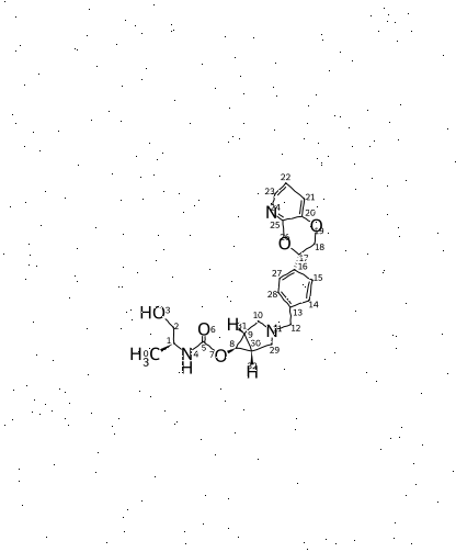 C[C@@H](CO)NC(=O)O[C@H]1[C@@H]2CN(Cc3ccc([C@H]4COc5cccnc5O4)cc3)C[C@@H]21